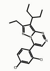 CCc1nn2c(-c3ccc(Cl)cc3Cl)cnnc2c1C(CC)CC